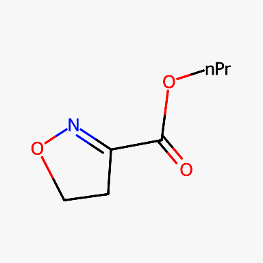 CCCOC(=O)C1=NOCC1